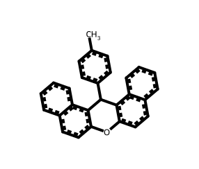 Cc1ccc(C2c3c(ccc4ccccc34)Oc3ccc4ccccc4c32)cc1